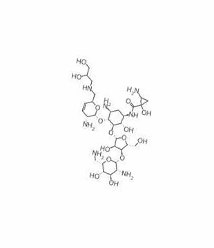 NC[C@@H]1O[C@H](O[C@H]2[C@@H](O)[C@H](O[C@@H]3[C@@H](O)[C@H](NC(=O)C4(O)CC4N)C[C@H](N)[C@H]3O[C@H]3O[C@H](CNCC(O)CO)C=C[C@H]3N)O[C@@H]2CO)[C@H](N)[C@@H](O)[C@@H]1O